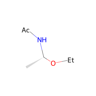 CCO[C@H](C)NC(C)=O